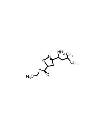 CCOC(=O)C1CC([C@@H](N)CC(C)C)=NO1